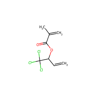 C=CC(OC(=O)C(=C)C)C(Cl)(Cl)Cl